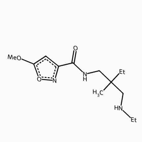 CCNCC(C)(CC)CNC(=O)c1cc(OC)on1